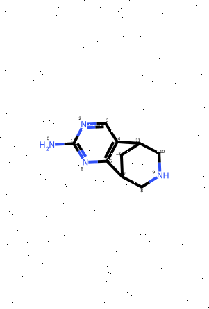 Nc1ncc2c(n1)C1CNCC2C1